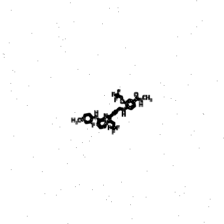 CNC(=O)c1ccc(NCC#Cc2nc3c(N[C@@H]4CCN(C)C[C@@H]4F)cccn3c2CC(F)(F)F)c(OCC(F)(F)F)c1